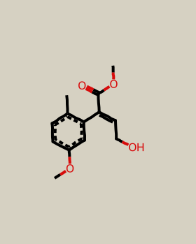 COC(=O)/C(=C/CO)c1cc(OC)ccc1C